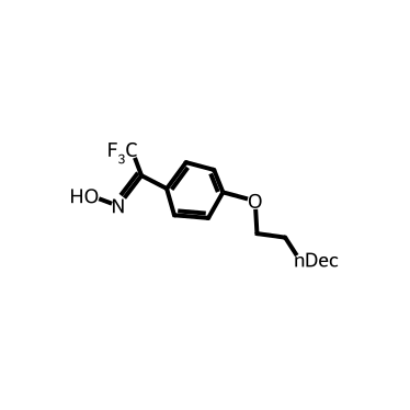 CCCCCCCCCCCCOc1ccc(C(=NO)C(F)(F)F)cc1